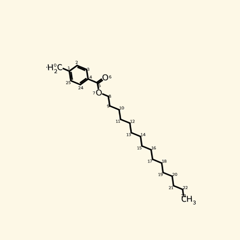 [CH2]c1ccc(C(=O)OCCCCCCCCCCCCCCCC)cc1